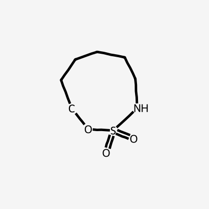 O=S1(=O)NCCCCCCO1